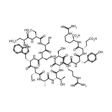 CC(C)C[C@H](NC(=O)[C@H](CC(C)C)NC(=O)[C@H](CC(=O)O)NC(=O)[C@@H](N)CC(=O)O)C(=O)N[C@@H](Cc1c[nH]c2ccccc12)C(=O)N[C@@H](CS)C(=O)N[C@@H](C)C(=O)N[C@H](C(=O)N[C@H](C(=O)N[C@@H](CO)C(=O)N[C@@H](CCCNC(=N)N)C(=O)N[C@@H](Cc1ccc(O)cc1)C(=O)N[C@@H](CCC(=O)O)C(=O)N[C@@H](CCCNC(=N)N)C(=O)O)[C@@H](C)O)[C@@H](C)O